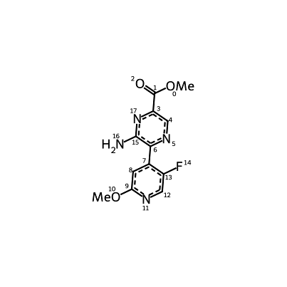 COC(=O)c1cnc(-c2cc(OC)ncc2F)c(N)n1